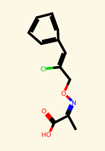 CC(=NOCC(Cl)=Cc1ccccc1)C(=O)O